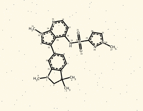 CN1CC(C)(C)c2ccc(-c3cn(C)c4nccc(NS(=O)(=O)c5ccn(C)n5)c34)cc21